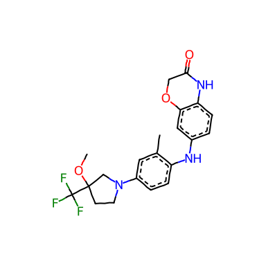 COC1(C(F)(F)F)CCN(c2ccc(Nc3ccc4c(c3)OCC(=O)N4)c(C)c2)C1